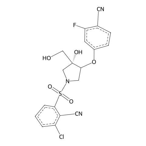 N#Cc1ccc(OC2CN(S(=O)(=O)c3cccc(Cl)c3C#N)C[C@@]2(O)CO)cc1F